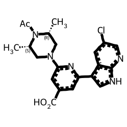 CC(=O)N1[C@H](C)CN(c2cc(C(=O)O)cc(-c3c[nH]c4ncc(Cl)cc34)n2)C[C@@H]1C